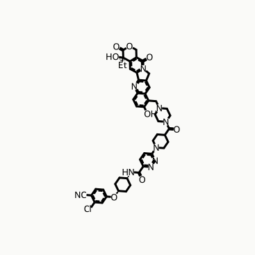 CC[C@@]1(O)C(=O)OCc2c1cc1n(c2=O)Cc2cc3c(CN4CCN(C(=O)C5CCN(c6ccc(C(=O)N[C@H]7CC[C@H](Oc8ccc(C#N)c(Cl)c8)CC7)nn6)CC5)CC4)c(O)ccc3nc2-1